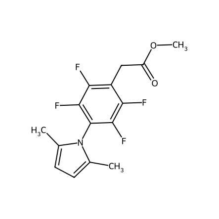 COC(=O)Cc1c(F)c(F)c(-n2c(C)ccc2C)c(F)c1F